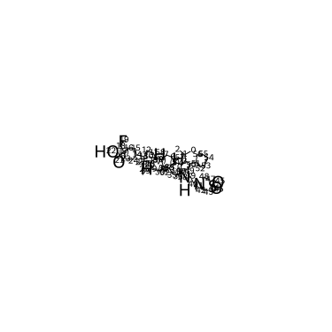 CC(C)C1=C2[C@H]3CC[C@@H]4[C@@]5(C)CC=C(C6=CC[C@](CF)(C(=O)O)CC6)C(C)(C)[C@@H]5CC[C@@]4(C)[C@]3(C)CC[C@@]2(NCCN2CCS(=O)(=O)CC2)C=C1c1ccccc1